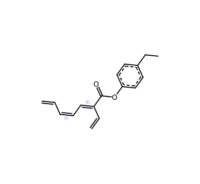 C=C/C=C\C=C(/C=C)C(=O)Oc1ccc(CC)cc1